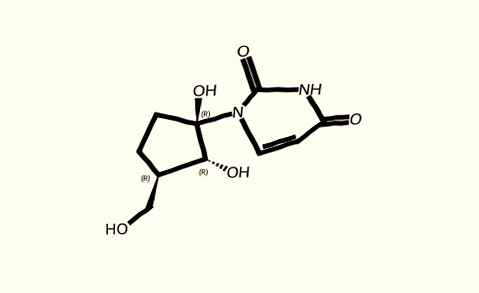 O=c1ccn([C@@]2(O)CC[C@H](CO)[C@H]2O)c(=O)[nH]1